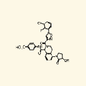 O=C(O)c1ccc(NC(=O)C2c3cccc(N4CCC(O)C4=O)c3CCN2C(=O)c2cn(-c3cccc(Cl)c3F)nn2)cc1